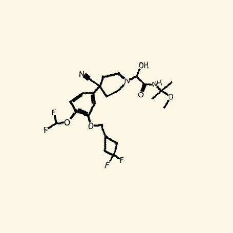 COC(C)(C)NC(=O)C(O)N1CCC(C#N)(c2ccc(OC(F)F)c(OCC3CC(F)(F)C3)c2)CC1